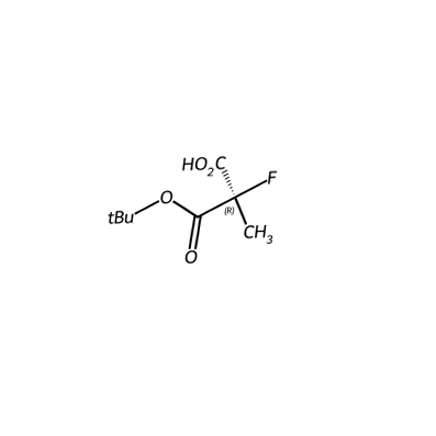 CC(C)(C)OC(=O)[C@](C)(F)C(=O)O